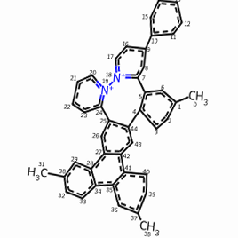 Cc1ccc2c(c1)-c1cc(-c3ccccc3)cc[n+]1-[n+]1ccccc1-c1cc3c4cc(C)ccc4c4cc(C)ccc4c3cc1-2